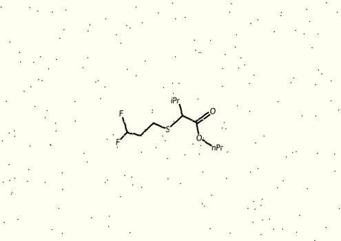 CCCOC(=O)C(SCCC(F)F)C(C)C